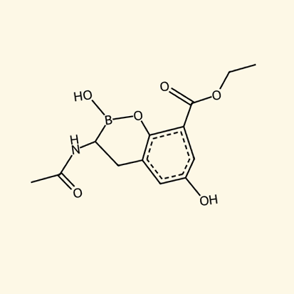 CCOC(=O)c1cc(O)cc2c1OB(O)C(NC(C)=O)C2